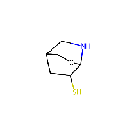 SC1CC2CCC1NC2